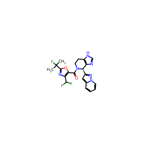 CC(C)(F)c1nc(C(F)F)c(C(=O)N2CCc3[nH]cnc3[C@H]2c2cc3ccccn3n2)o1